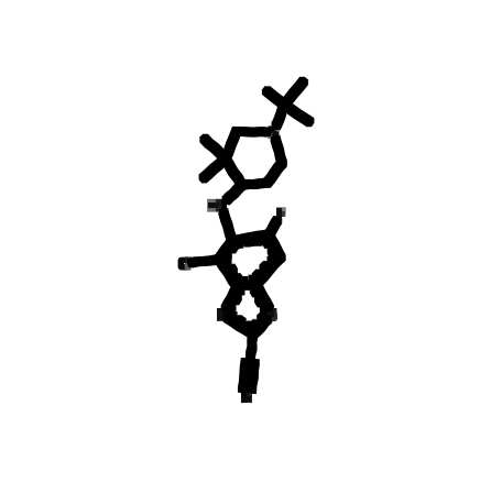 CC1(C)CN(C(C)(C)C)CCC1Nc1c(F)cc2sc(C#N)nc2c1Cl